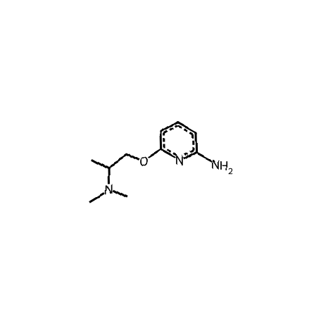 CC(COc1cccc(N)n1)N(C)C